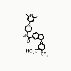 Cc1cc(N2CCC(N(C)C(=O)c3ccc4c(c3)C(N3C=CC(C(F)(F)F)=C(C(=O)O)C3)CC4)CC2)cc(C)n1